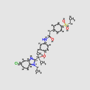 CCn1c(C(C)(C)Oc2ccc(NC(=O)Cc3ccc(S(=O)(=O)CC)cc3)cc2)nc2cc(Cl)ccc21